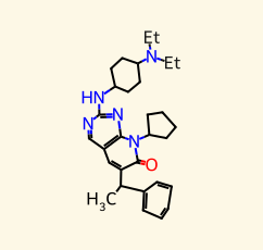 CCN(CC)C1CCC(Nc2ncc3cc(C(C)c4ccccc4)c(=O)n(C4CCCC4)c3n2)CC1